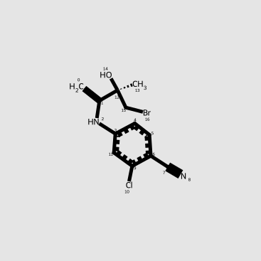 C=C(Nc1ccc(C#N)c(Cl)c1)[C@@](C)(O)CBr